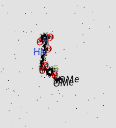 COCC(COc1ccc(C2OCC(CCCCNC(=O)CCN3C(=O)C=CC3=O)O2)cc1F)OC